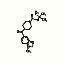 Cn1cnc2cc(C(=O)C3CCN(C(=O)OC(C)(C)C)CC3)ccc21